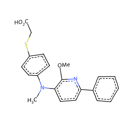 COc1nc(-c2ccccc2)ccc1N(C)c1ccc(SCC(=O)O)cc1